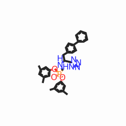 Cc1cc(C)cc(OP(=O)(CNC(Cc2ccc(-c3ccccc3)cc2)c2nnn[nH]2)Oc2cc(C)cc(C)c2)c1